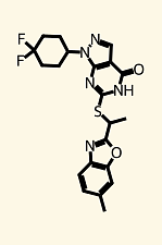 Cc1ccc2nc(C(C)Sc3nc4c(cnn4C4CCC(F)(F)CC4)c(=O)[nH]3)oc2c1